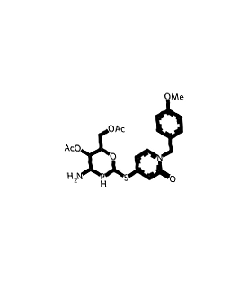 COc1ccc(Cn2ccc(SC3OC(COC(C)=O)C(OC(C)=O)C(N)P3)cc2=O)cc1